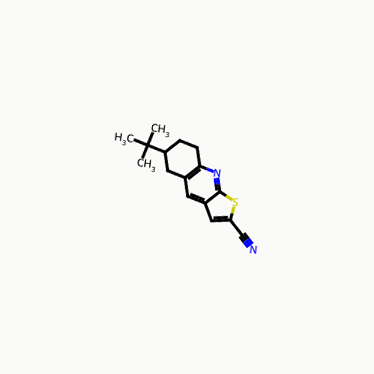 CC(C)(C)C1CCc2nc3sc(C#N)cc3cc2C1